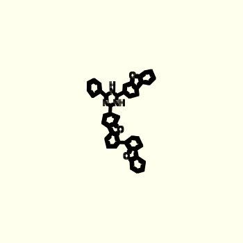 c1ccc(C2=NC(c3ccc4c(c3)oc3c(-c5cccc6c5oc5ccccc56)cccc34)NC(c3ccc4c(c3)oc3ccccc34)N2)cc1